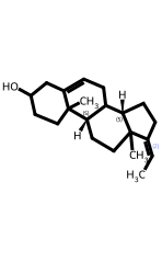 C/C=C1/CC[C@H]2C3CC=C4CC(O)CCC4(C)[C@H]3CCC12C